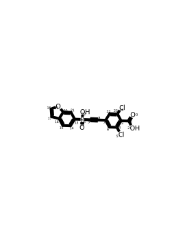 O=C(O)c1c(Cl)cc(C#CP(=O)(O)c2ccc3ccoc3c2)cc1Cl